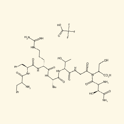 CCC(C)[C@H](NC(=O)[C@@H](CCCNC(=N)N)NC(=O)[C@H](CC(C)C)NC(=O)C(N)CC(C)C)C(=O)NC(C(=O)NCC(=O)N(C(=O)C(N)[C@H](O)C(N)=O)C(CO)C(=O)O)C(C)O.O=C(O)C(F)(F)F